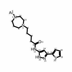 CC(=O)N1CCCN(CCCCC(=O)Nc2cc(-c3cccs3)n[nH]2)CC1